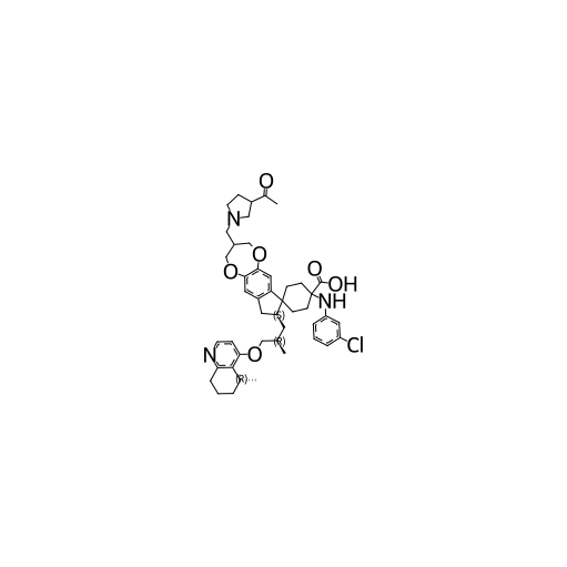 CC(=O)C1CCN(CC2COc3cc4c(cc3OC2)C2(CCC(Nc3cccc(Cl)c3)(C(=O)O)CC2)[C@@H](C[C@@H](C)COc2ccnc3c2[C@H](C)CCC3)C4)C1